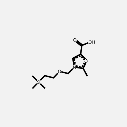 Cc1nc(C(=O)O)cn1COCC[Si](C)(C)C